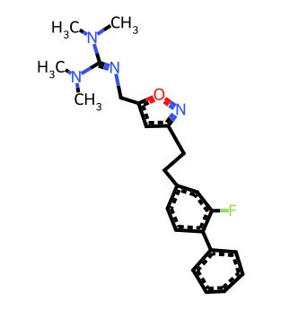 CN(C)C(=NCc1cc(CCc2ccc(-c3ccccc3)c(F)c2)no1)N(C)C